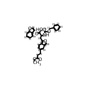 COC(=O)CCc1ccc2c(CC(NC(=O)OCc3ccccc3)C(=O)O)occ2c1.c1ccc2occc2c1